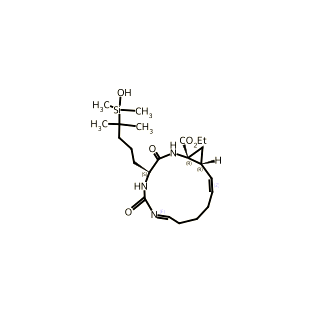 CCOC(=O)[C@@]12C[C@@H]1/C=C\CCC/C=N/C(=O)N[C@@H](CCCC(C)(C)[Si](C)(C)O)C(=O)N2